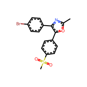 Cc1nc(-c2ccc(Br)cc2)c(-c2ccc(S(C)(=O)=O)cc2)o1